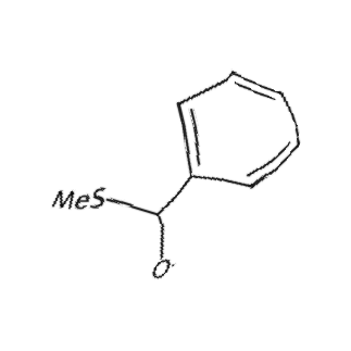 CSC([O])c1ccccc1